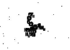 NC(=O)c1cc(OC(C(N)=O)C(O)CO)nc(-c2ccc(Oc3ccc(C(F)(F)F)cc3)cc2)n1